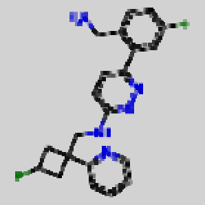 NCc1ccc(F)cc1-c1ccc(NCC2(c3ccccn3)CC(F)C2)nn1